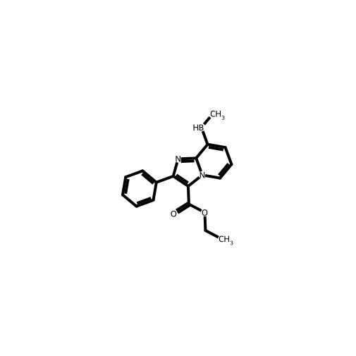 CBc1cccn2c(C(=O)OCC)c(-c3ccccc3)nc12